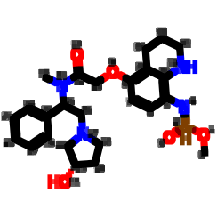 CO[SH](=O)=Nc1ccc(OCC(=O)N(C)C(CN2CC[C@H](O)C2)c2ccccc2)c2c1NCCC2